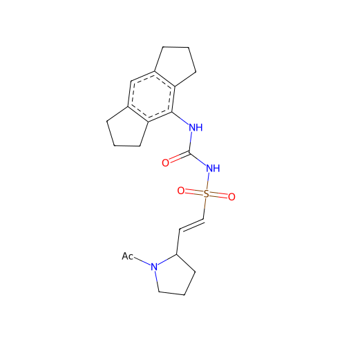 CC(=O)N1CCCC1C=CS(=O)(=O)NC(=O)Nc1c2c(cc3c1CCC3)CCC2